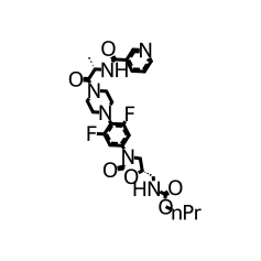 CCCOC(=O)NC[C@H]1CN(c2cc(F)c(N3CCN(C(=O)[C@H](C)NC(=O)c4cccnc4)CC3)c(F)c2)C(=O)O1